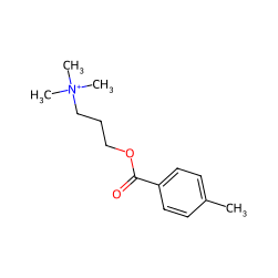 Cc1ccc(C(=O)OCCC[N+](C)(C)C)cc1